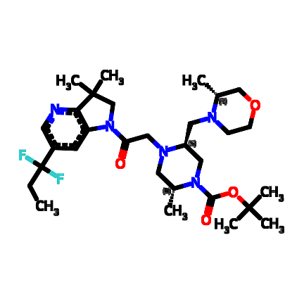 CCC(F)(F)c1cnc2c(c1)N(C(=O)CN1C[C@@H](C)N(C(=O)OC(C)(C)C)C[C@@H]1CN1CCOC[C@H]1C)CC2(C)C